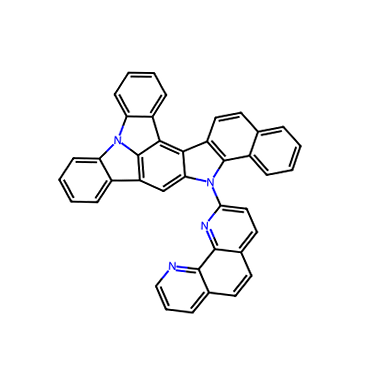 c1ccc2c(c1)ccc1c3c4c5ccccc5n5c6ccccc6c(cc3n(-c3ccc6ccc7cccnc7c6n3)c21)c45